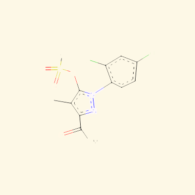 CCc1c(C(=O)OC)nn(-c2ccc(Cl)cc2Cl)c1OS(=O)(=O)C(F)(F)F